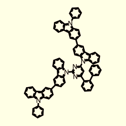 c1ccc(-c2ccccc2-c2cc(-n3c4ccccc4c4cc(-c5ccc6c(c5)c5ccccc5n6-c5ccccc5)ccc43)nc(-n3c4ccccc4c4cc(-c5ccc6c(c5)c5ccccc5n6-c5ccccc5)ccc43)n2)cc1